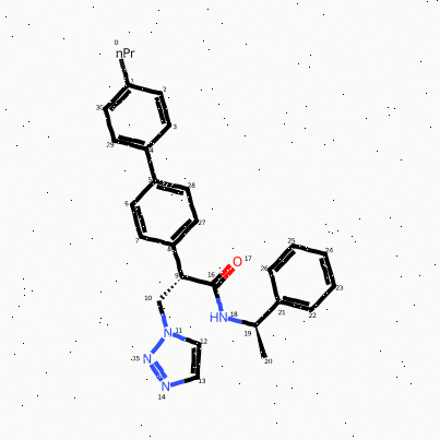 CCCc1ccc(-c2ccc([C@@H](Cn3ccnn3)C(=O)N[C@H](C)c3ccccc3)cc2)cc1